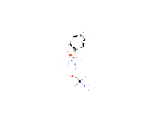 CC(C)(N)C(=O)NNS(=O)(=O)c1ccccc1